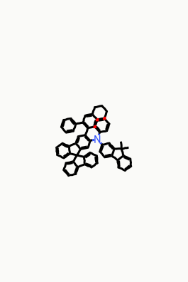 CC1(C)c2ccccc2-c2ccc(N(c3ccccc3)c3cc4c(cc3-c3cc5c(cc3-c3ccccc3)CCCC5)-c3ccccc3C43c4ccccc4-c4ccccc43)cc21